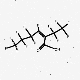 O=C(O)C(=C(F)C(F)(F)C(F)(F)C(F)(F)F)C(F)(F)C(F)(F)F